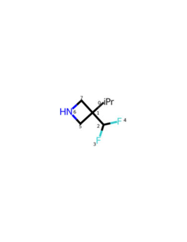 CC(C)C1(C(F)F)CNC1